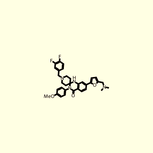 COc1ccc(N2C(=O)c3ccc(-c4ccc(CN(C)C)o4)cc3NC23CCN(Cc2ccc(F)c(F)c2)CC3)cc1